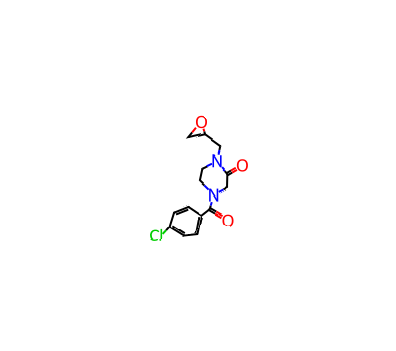 O=C1CN(C(=O)c2ccc(Cl)cc2)CCN1CC1CO1